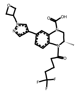 C[C@H]1CN(C(=O)O)c2cc(-c3cnn(C4COC4)c3)ccc2N1C(=O)CCCC(F)(F)F